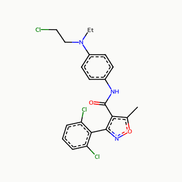 CCN(CCCl)c1ccc(NC(=O)c2c(-c3c(Cl)cccc3Cl)noc2C)cc1